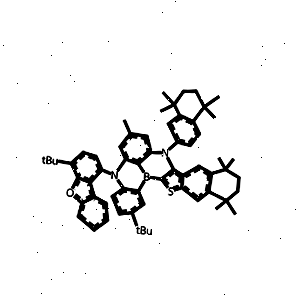 Cc1cc2c3c(c1)N(c1ccc(C(C)(C)C)c4oc5ccccc5c14)c1ccc(C(C)(C)C)cc1B3c1sc3cc4c(cc3c1N2c1ccc2c(c1)C(C)(C)CCC2(C)C)C(C)(C)CCC4(C)C